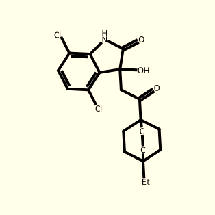 CCC12CCC(C(=O)CC3(O)C(=O)Nc4c(Cl)ccc(Cl)c43)(CC1)CC2